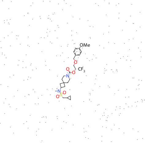 COc1ccc(COC[C@@H](OC(=O)N2CCC3(CC2)CC(N(C)S(=O)(=O)CC2CC2)C3)C(F)(F)F)cc1